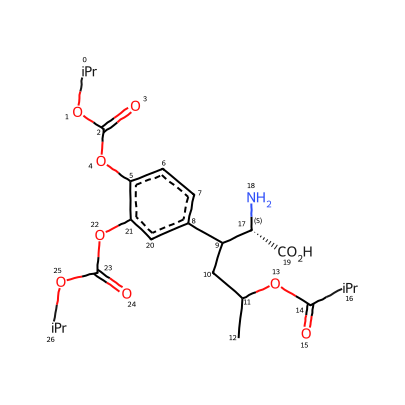 CC(C)OC(=O)Oc1ccc(C(CC(C)OC(=O)C(C)C)[C@H](N)C(=O)O)cc1OC(=O)OC(C)C